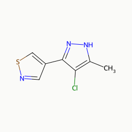 Cc1[nH]nc(-c2cnsc2)c1Cl